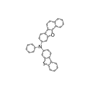 c1ccc(N(c2ccc3c(c2)oc2c4ccccc4ccc32)c2ccc3c(c2)sc2ccccc23)cc1